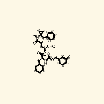 CN(C(=O)CC[C@@H](C=O)NC(=O)[C@H](CC1CCCCC1)NC(=O)OCc1cccc(Cl)c1)C1(Cc2ccccc2)CC1